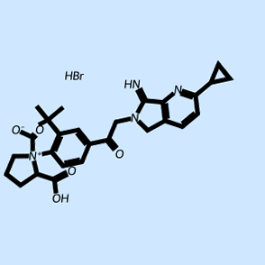 Br.CC(C)(C)c1cc(C(=O)CN2Cc3ccc(C4CC4)nc3C2=N)ccc1[N+]1(C(=O)[O-])CCCC1C(=O)O